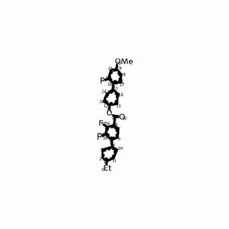 CCc1ccc(-c2ccc(C(=O)Oc3ccc(-c4ccc(OC)cc4F)cc3)c(F)c2F)cc1